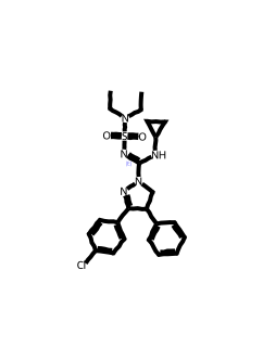 CCN(CC)S(=O)(=O)/N=C(\NC1CC1)N1CC(c2ccccc2)C(c2ccc(Cl)cc2)=N1